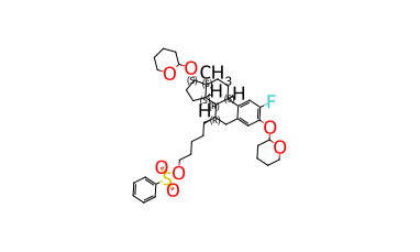 C[C@]12CC[C@@H]3c4cc(F)c(OC5CCCCO5)cc4C[C@@H](CCCCCOS(=O)(=O)c4ccccc4)[C@H]3[C@@H]1CC[C@@H]2OC1CCCCO1